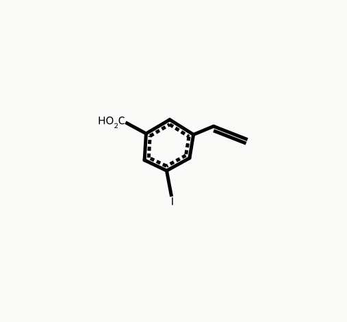 C=Cc1cc(I)cc(C(=O)O)c1